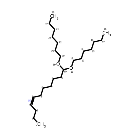 CCC/C=C\CCCCCC(OCCCCCCC)OCCCCCCC